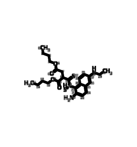 CCCCOC(=O)CC(C(=O)OCCCC)C(=S)N(S)c1c(N)ccc2cc(NCC)ccc12